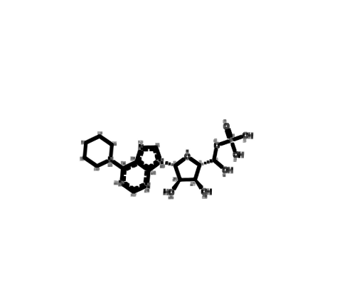 O=P(O)(O)OC(O)[C@H]1O[C@@H](n2cnc3c(N4CCCCC4)ncnc32)[C@H](O)[C@@H]1O